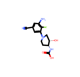 N#Cc1cc(N)c(F)c(N2CC[C@@H](NC(=O)O)[C@@H](O)C2)c1